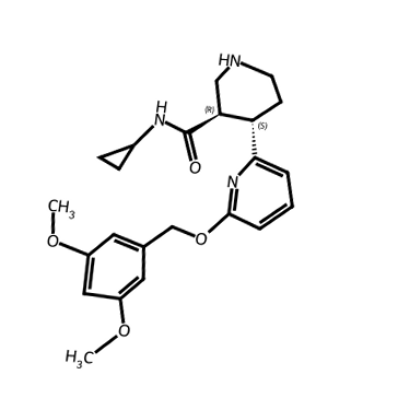 COc1cc(COc2cccc([C@H]3CCNC[C@@H]3C(=O)NC3CC3)n2)cc(OC)c1